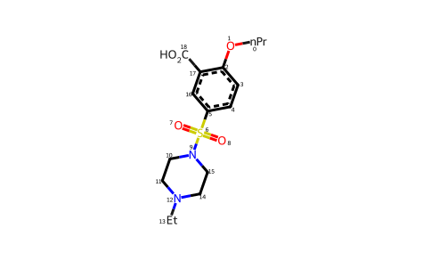 CCCOc1ccc(S(=O)(=O)N2CCN(CC)CC2)cc1C(=O)O